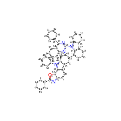 c1ccc(-c2nc3ccc4c5cc(-c6cccc7c8ccccc8n(-c8nc(-c9ccccc9)c9ccccc9n8)c67)ccc5n(-c5ccccc5)c4c3o2)cc1